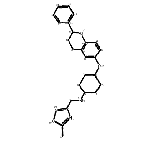 Cc1nc(CNC2CCC(Oc3ccc4c(c3)CCC(c3ccccc3)O4)CC2)no1